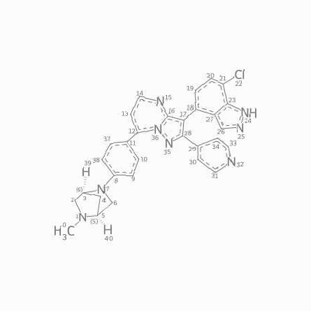 CN1C[C@@H]2C[C@H]1CN2c1ccc(-c2ccnc3c(-c4ccc(Cl)c5[nH]ncc45)c(-c4ccncc4)nn23)cc1